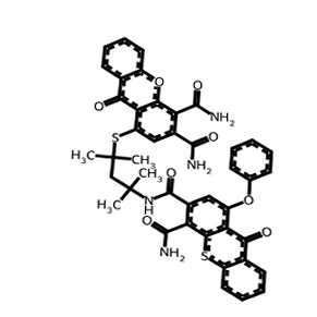 CC(C)(CC(C)(C)Sc1cc(C(N)=O)c(C(N)=O)c2oc3ccccc3c(=O)c12)NC(=O)c1cc(Oc2ccccc2)c2c(=O)c3ccccc3sc2c1C(N)=O